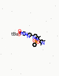 Cc1cc(-c2c(C)c3ccc(-c4ccc(N5CCN(C(=O)OC(C)(C)C)CC5)nc4)nc3n2S(=O)(=O)c2ccccc2)cc(C)n1